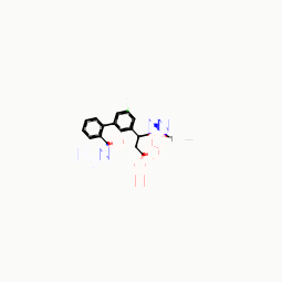 Cc1nnc(C(CC(=O)O)c2cc(Cl)cc(-c3ccccc3C(N)=O)c2)o1